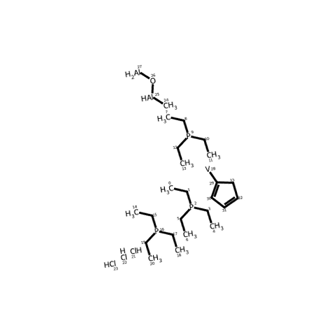 CCP(CC)CC.CCP(CC)CC.CCP(CC)CC.Cl.Cl.Cl.[CH3][AlH][O][AlH2].[V][C]1=CC=CC1